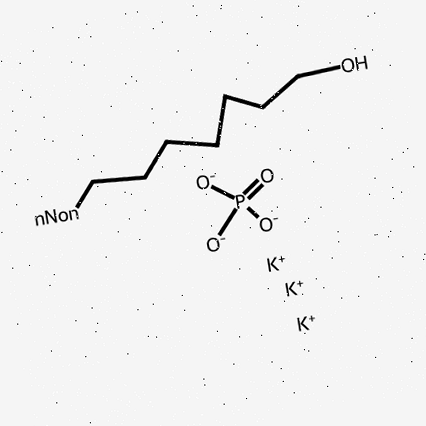 CCCCCCCCCCCCCCCCO.O=P([O-])([O-])[O-].[K+].[K+].[K+]